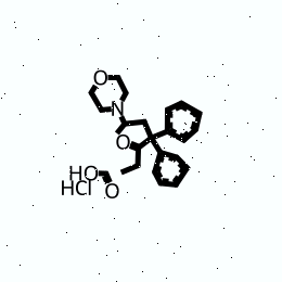 CCC(=O)C(CC(C)N1CCOCC1)(c1ccccc1)c1ccccc1.Cl.O=CO